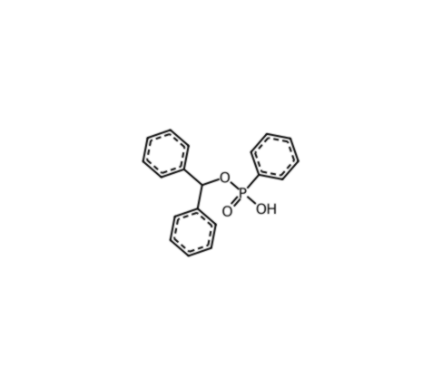 O=P(O)(OC(c1ccccc1)c1ccccc1)c1ccccc1